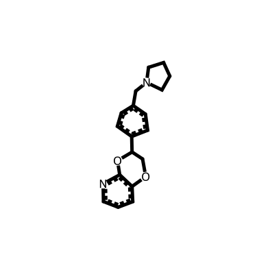 c1cnc2c(c1)OCC(c1ccc(CN3CCCC3)cc1)O2